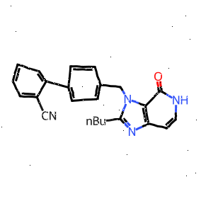 CCCCc1nc2cc[nH]c(=O)c2n1Cc1ccc(-c2ccccc2C#N)cc1